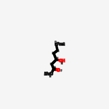 CCCCCCCC(O)CC(=O)OC